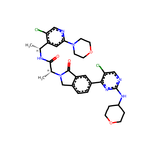 C[C@H](C(=O)N[C@H](C)c1cc(N2CCOCC2)ncc1Cl)N1Cc2ccc(-c3nc(NC4CCOCC4)ncc3Cl)cc2C1=O